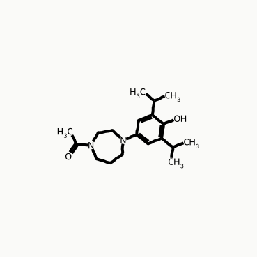 CC(=O)N1CCCN(c2cc(C(C)C)c(O)c(C(C)C)c2)CC1